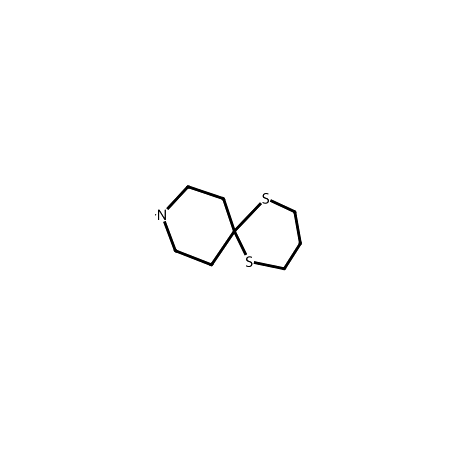 C1CSC2(CC[N]CC2)SC1